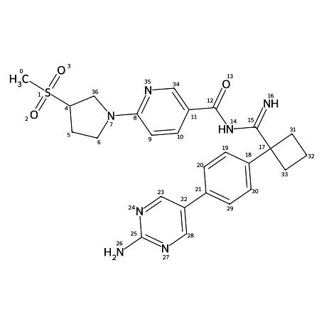 CS(=O)(=O)C1CCN(c2ccc(C(=O)NC(=N)C3(c4ccc(-c5cnc(N)nc5)cc4)CCC3)cn2)C1